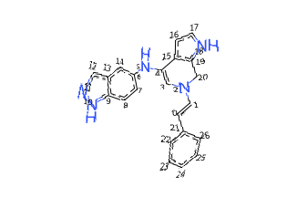 C(=CN1C=C(Nc2ccc3[nH]ncc3c2)c2cc[nH]c2C1)c1ccccc1